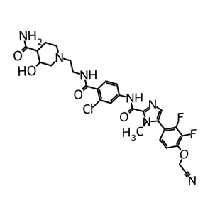 Cn1c(-c2ccc(OCC#N)c(F)c2F)cnc1C(=O)Nc1ccc(C(=O)NCCN2CCC(C(N)=O)C(O)C2)c(Cl)c1